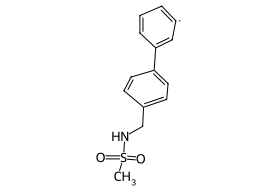 CS(=O)(=O)NCc1ccc(-c2c[c]ccc2)cc1